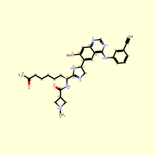 C#Cc1cccc(Nc2ncnc3cc(OC)c(C4CN=C([C@H](CCCCCC(=O)C(F)(F)F)NC(=O)C5CN(C)C5)N4)cc23)c1